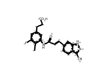 Cc1c(F)cc(CCC(=O)O)cc1NC(=O)/C=C/c1ccc2c(C#N)n[nH]c2c1